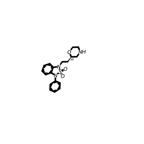 O=S1(=O)N(CC[C@@H]2CNCCO2)c2ccccc2N1c1ccccc1